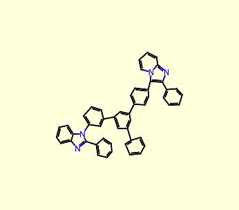 c1ccc(-c2cc(-c3ccc(-c4c(-c5ccccc5)nc5ccccn45)cc3)cc(-c3cccc(-n4c(-c5ccccc5)nc5ccccc54)c3)c2)cc1